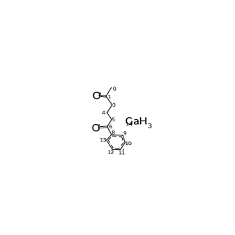 CC(=O)CCCC(=O)c1cc[c]cc1.[GaH3]